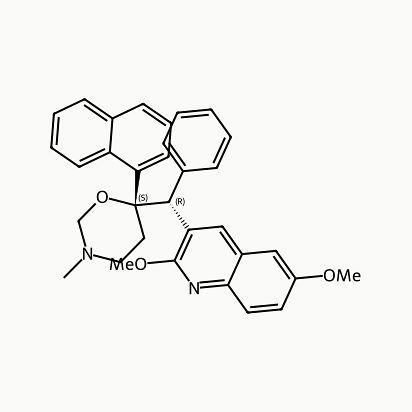 COc1ccc2nc(OC)c([C@@H](c3ccccc3)[C@]3(c4cccc5ccccc45)CCN(C)CO3)cc2c1